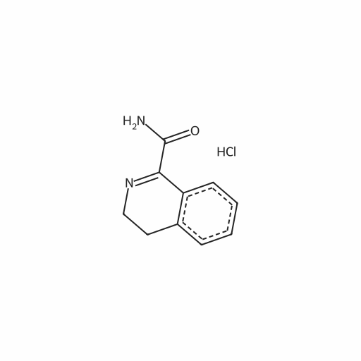 Cl.NC(=O)C1=NCCc2ccccc21